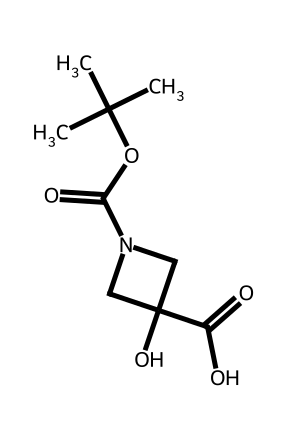 CC(C)(C)OC(=O)N1CC(O)(C(=O)O)C1